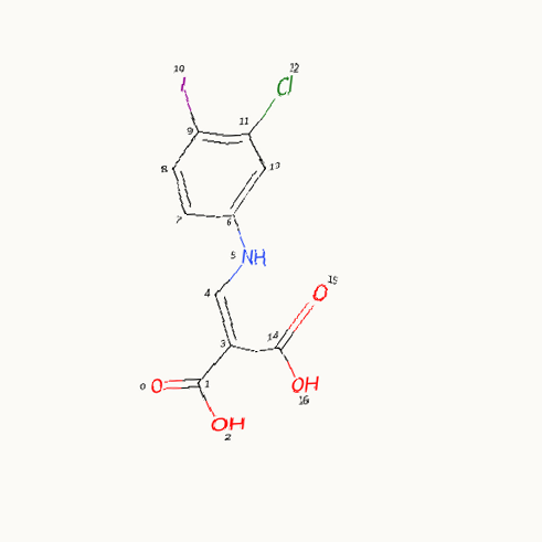 O=C(O)C(=CNc1ccc(I)c(Cl)c1)C(=O)O